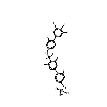 CC(C)[Si](Oc1ccc(-c2cc(F)c(C(F)(F)Oc3ccc(-c4cc(F)c(F)c(F)c4)c(F)c3)c(F)c2)c(F)c1)(C(C)C)C(C)C